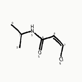 CC(C)NC(=O)/C=C\Cl